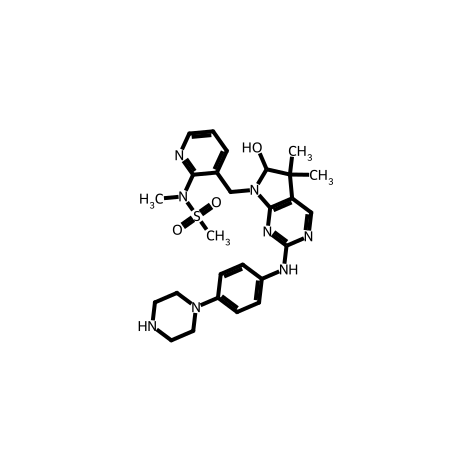 CN(c1ncccc1CN1c2nc(Nc3ccc(N4CCNCC4)cc3)ncc2C(C)(C)C1O)S(C)(=O)=O